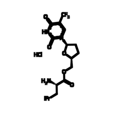 CC(C)C[C@H](N)C(=O)OC[C@@H]1CC[C@H](n2cc(C(F)(F)F)c(=O)[nH]c2=O)O1.Cl